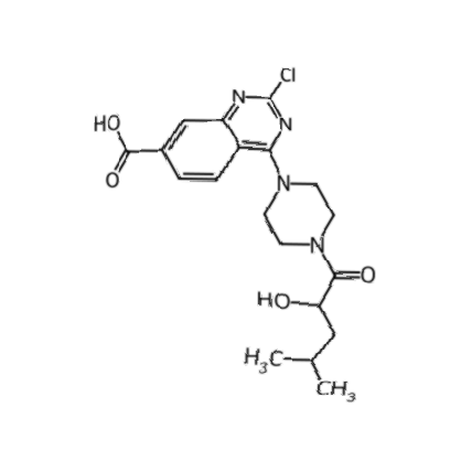 CC(C)CC(O)C(=O)N1CCN(c2nc(Cl)nc3cc(C(=O)O)ccc23)CC1